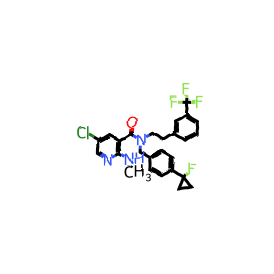 CNc1ncc(Cl)cc1C(=O)N(CCc1cccc(C(F)(F)F)c1)Cc1ccc(C2(F)CC2)cc1